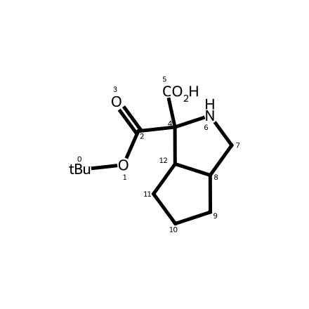 CC(C)(C)OC(=O)C1(C(=O)O)NCC2CCCC21